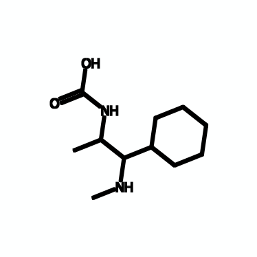 CNC(C1CCCCC1)C(C)NC(=O)O